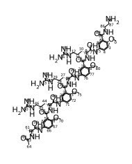 COc1ccc(NC(=O)[C@@H](CCCNC(=N)N)NC(=O)c2cc(NC(=O)[C@@H](CCCNC(=N)N)NC(=O)c3cc(NC(=O)[C@@H](CCCNC(=N)N)NC(=O)c4cc(NC(=O)[C@@H](C)NC(C)=O)ccc4OC)ccc3OC)ccc2OC)cc1C(=O)NCCN